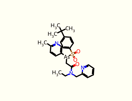 CCN(Cc1ccccn1)C(=O)C[As](c1ccc(C)nc1)S(=O)(=O)c1ccc(C(C)(C)C)cc1